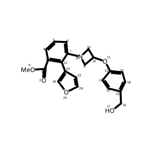 COC(=O)c1cccc(N2CC(Oc3ccc(CO)cc3)C2)c1-c1ccoc1